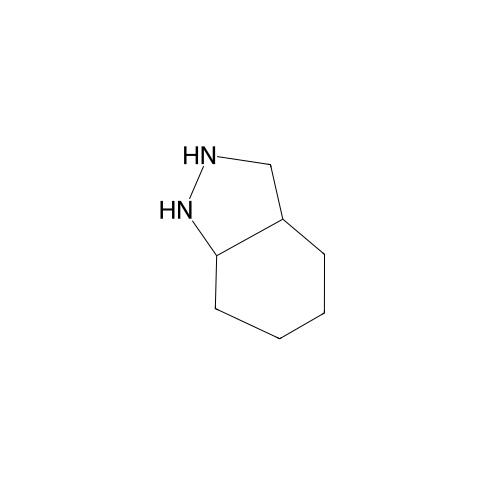 C1CCC2NNCC2C1